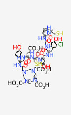 CC(C)C[C@H](NC(=O)CNC(=O)[C@H](Cc1ccc(O)c(Cl)c1)NC(=O)[C@@H]1C[C@@H](O)CN1C(=O)[C@H](CS)NC(=O)[C@@H](CCC(=O)O)NC(=O)[C@H](Cc1ccc(O)cc1)NC(=O)CN1CCN(CC(=O)O)CCN(CC(=O)O)CCN(CC(=O)O)CC1)C(=O)N[C@H](C)CS